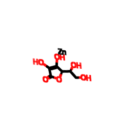 O=C1O[C@H]([C@@H](O)CO)C(O)=C1O.[Zn]